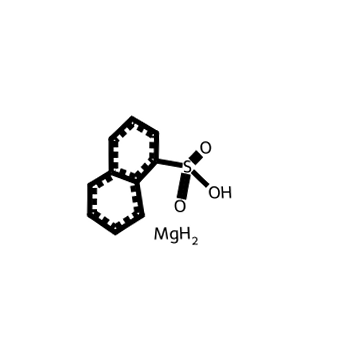 O=S(=O)(O)c1cccc2ccccc12.[MgH2]